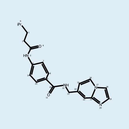 CC(C)CCC(=O)Nc1ccc(C(=O)NCc2ccn3ccnc3c2)cc1